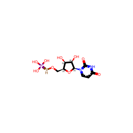 O=c1ccn([C@H]2O[C@@H](CO[SH]=P(O)(O)O)[C@@H](O)[C@H]2O)c(=O)[nH]1